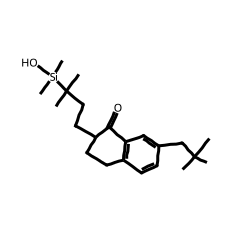 CC(C)(C)Cc1ccc2c(c1)C(=O)C(CCC(C)(C)[Si](C)(C)O)CC2